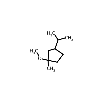 COC1(C)CCC(C(C)C)C1